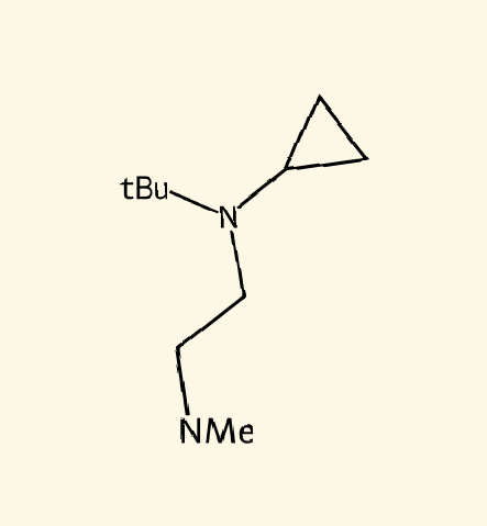 CNCCN(C1CC1)C(C)(C)C